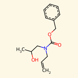 C=CCN(CC(C)O)C(=O)OCc1ccccc1